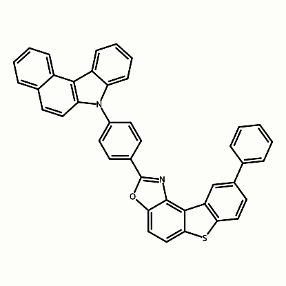 c1ccc(-c2ccc3sc4ccc5oc(-c6ccc(-n7c8ccccc8c8c9ccccc9ccc87)cc6)nc5c4c3c2)cc1